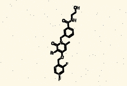 Cc1cc(OCc2ccc(F)cc2F)c(Br)c(=O)n1Cc1cccc(C(=O)NCCO)c1